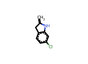 C=C1Cc2ccc(Cl)cc2N1